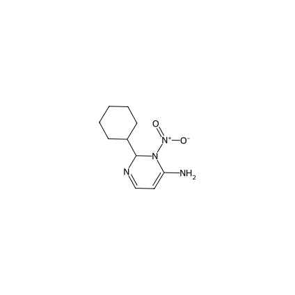 NC1=CC=NC(C2CCCCC2)N1[N+](=O)[O-]